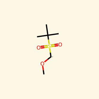 CO[CH]S(=O)(=O)C(C)(C)C